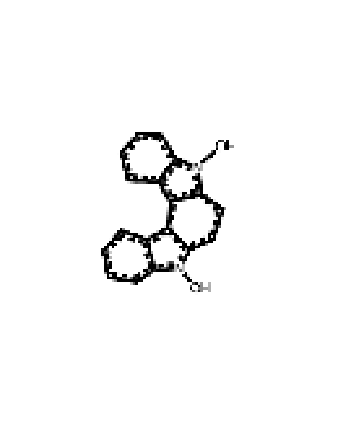 On1c2ccccc2c2c3c4ccccc4n(O)c3ccc21